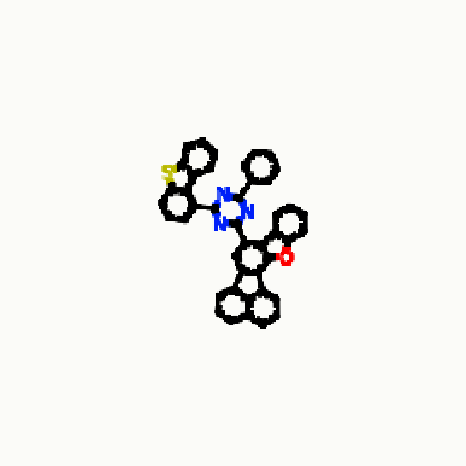 c1ccc(-c2nc(-c3cccc4sc5ccccc5c34)nc(-c3cc4c(c5oc6ccccc6c35)-c3cccc5cccc-4c35)n2)cc1